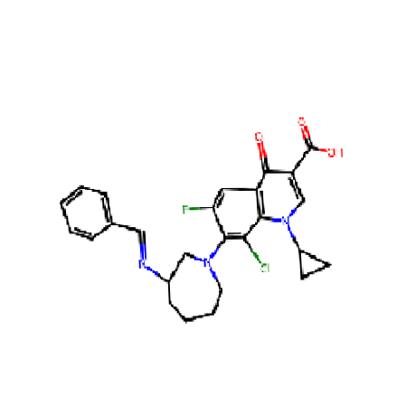 O=C(O)c1cn(C2CC2)c2c(Cl)c(N3CCCCC(N=Cc4ccccc4)C3)c(F)cc2c1=O